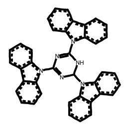 c1ccc2c(c1)c1ccccc1n2C1=NC(n2c3ccccc3c3ccccc32)NC(n2c3ccccc3c3ccccc32)=N1